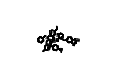 CC[C@H](C)[C@@H](C(=O)N[C@@H](Cc1ccccc1)[C@@H](O)CN(CC(C)C)S(=O)(=O)c1ccc(OC)cc1)N1CCN(Cc2ccc3[nH]cnc3c2)C1=O